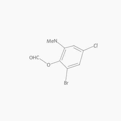 CNc1cc(Cl)cc(Br)c1OC=O